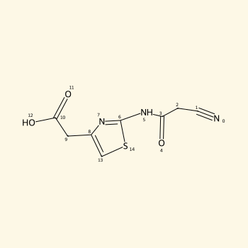 N#CCC(=O)Nc1nc(CC(=O)O)cs1